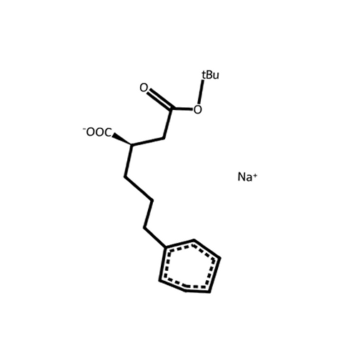 CC(C)(C)OC(=O)C[C@@H](CCCc1ccccc1)C(=O)[O-].[Na+]